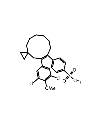 COc1c(Cl)cc(C2=C(c3ccc(S(C)(=O)=O)cc3)CCCCCCC3(CC3)C2)cc1Cl